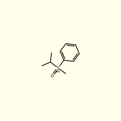 CC(C)[SH](C)(=O)c1ccccc1